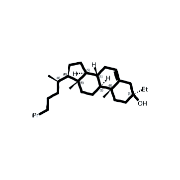 CC[C@]1(O)CC[C@@]2(C)C(=CC[C@H]3[C@@H]4CC[C@H]([C@H](C)CCCC(C)C)[C@@]4(C)CC[C@@H]32)C1